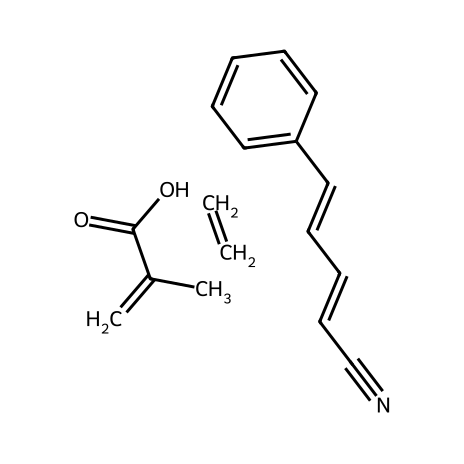 C=C.C=C(C)C(=O)O.N#CC=CC=Cc1ccccc1